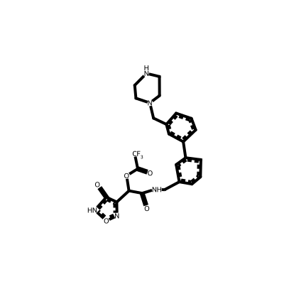 O=C(NCc1cccc(-c2cccc(CN3CCNCC3)c2)c1)C(OC(=O)C(F)(F)F)c1no[nH]c1=O